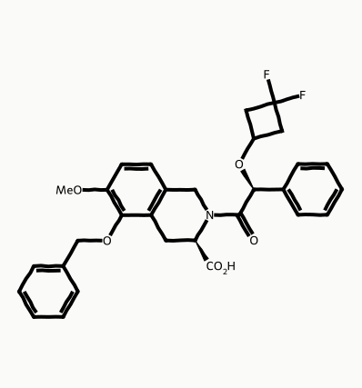 COc1ccc2c(c1OCc1ccccc1)C[C@H](C(=O)O)N(C(=O)[C@@H](OC1CC(F)(F)C1)c1ccccc1)C2